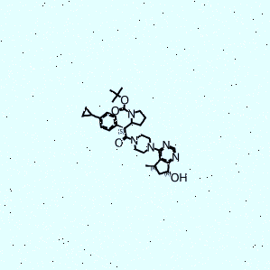 C[C@@H]1C[C@@H](O)c2ncnc(N3CCN(C(=O)[C@@H](c4ccc(C5CC5)cc4)C4CCCN4C(=O)OC(C)(C)C)CC3)c21